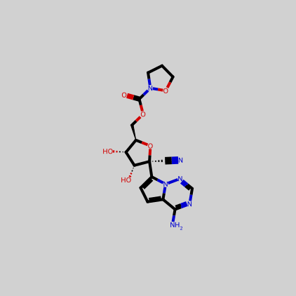 N#C[C@@]1(c2ccc3c(N)ncnn23)O[C@H](COC(=O)N2CCCO2)[C@@H](O)[C@H]1O